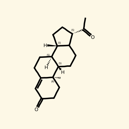 CC(=O)[C@H]1CC[C@@H]2C1CC[C@H]1[C@H]2CCC2=CC(=O)CC[C@@]21C